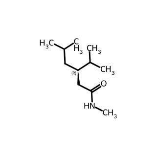 CNC(=O)C[C@@H](CC(C)C)C(C)C